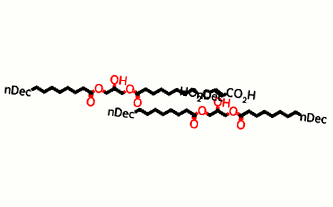 CCCCCCCCCCCCCCCCCC(=O)OCC(O)COC(=O)CCCCCCCCCCCCCCCCC.CCCCCCCCCCCCCCCCCC(=O)OCC(O)COC(=O)CCCCCCCCCCCCCCCCC.O=C(O)/C=C/C(=O)O